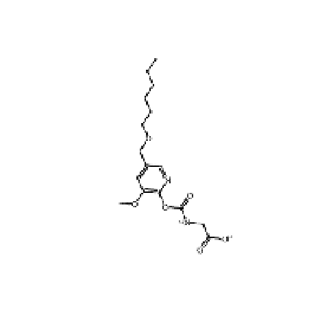 CCCCCCOCc1cnc(OC(=O)NCC(=O)O)c(OC)c1